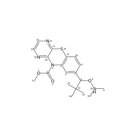 COC(=O)N1c2cc(C(O[SiH](C)C)C(C)(C)C)ccc2Sc2nccnc21